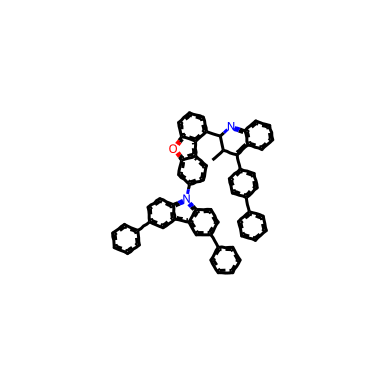 CC1C(c2ccc(-c3ccccc3)cc2)=c2ccccc2=NC1c1cccc2oc3cc(-n4c5ccc(-c6ccccc6)cc5c5cc(-c6ccccc6)ccc54)ccc3c12